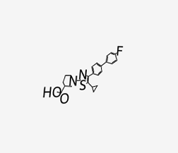 O=C(O)C1CCCN(c2nc(-c3ccc(-c4ccc(F)cc4)cc3)c(C3CC3)s2)C1